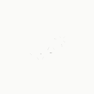 CCOCCC1(Oc2ccc(Oc3ccc(CN)cc3)cc2)C(=O)NC(=O)NC1=O